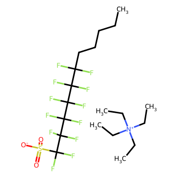 CCCCCC(F)(F)C(F)(F)C(F)(F)C(F)(F)C(F)(F)C(F)(F)S(=O)(=O)[O-].CC[N+](CC)(CC)CC